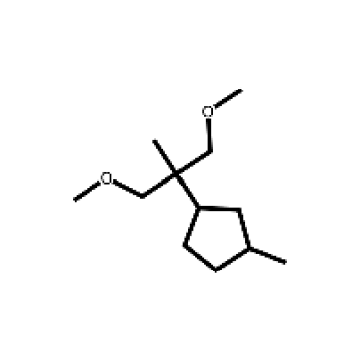 COCC(C)(COC)C1CCC(C)C1